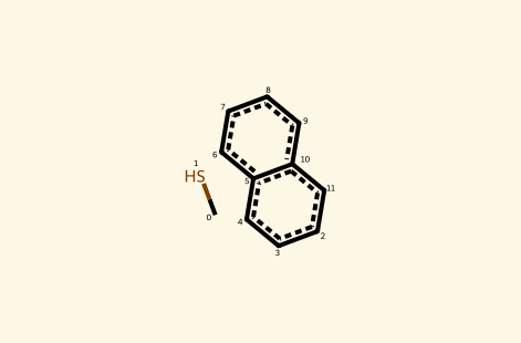 CS.c1ccc2ccccc2c1